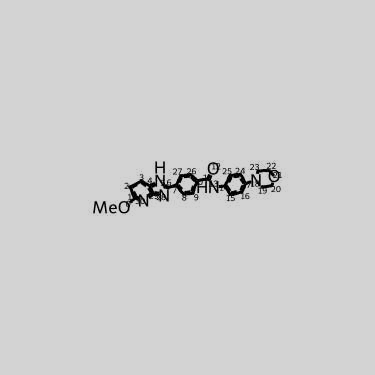 COc1ccc2[nH]c(-c3ccc(C(=O)Nc4ccc(N5CCOCC5)cc4)cc3)nc2n1